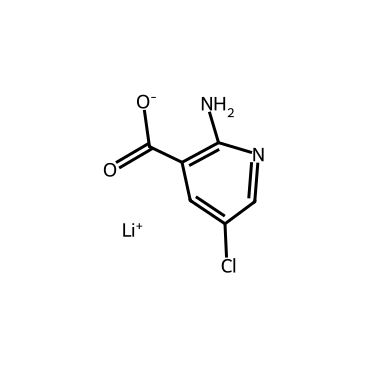 Nc1ncc(Cl)cc1C(=O)[O-].[Li+]